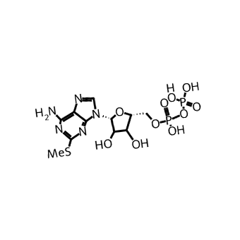 CSc1nc(N)c2ncn([C@@H]3O[C@H](COP(=O)(O)OP(=O)(O)O)C(O)C3O)c2n1